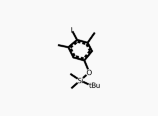 Cc1cc(O[Si](C)(C)C(C)(C)C)cc(C)c1I